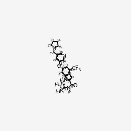 CN(C(=N)N)C(=O)c1cc2c(C(F)(F)F)cc(Oc3cncc(CN4CCCC4)c3)cc2[nH]1